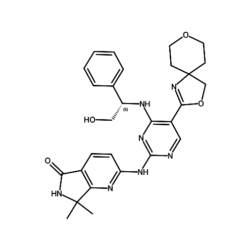 CC1(C)NC(=O)c2ccc(Nc3ncc(C4=NC5(CCOCC5)CO4)c(N[C@H](CO)c4ccccc4)n3)nc21